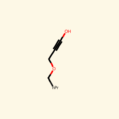 CCCCOCC#CO